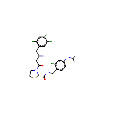 CC(C)C(Nc1ccc(CNC(=O)[C@@H]2SCCN2C(=O)CC(N)Cc2cc(F)c(F)cc2F)c(F)c1)C(=O)O